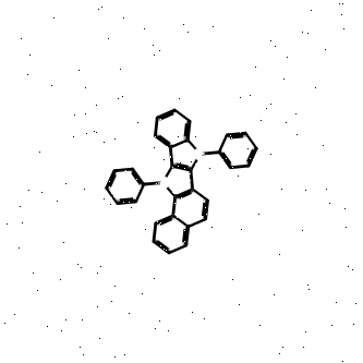 c1ccc(-n2c3ccccc3c3c2c2ccc4ccccc4c2n3-c2ccccc2)cc1